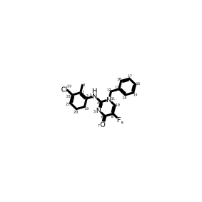 CC1=C(Nc2nc(=O)c(F)cn2Cc2ccccc2)CCC=C1Cl